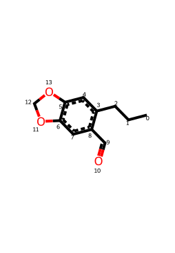 CCCc1cc2c(cc1C=O)OCO2